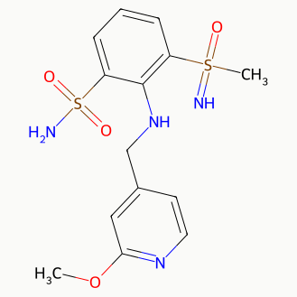 COc1cc(CNc2c(S(C)(=N)=O)cccc2S(N)(=O)=O)ccn1